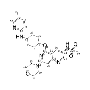 Cc1ccc(NC2CCC(Oc3nc(N4CCOCC4)cc4ncc(NS(C)(=O)=O)cc34)CC2)nc1